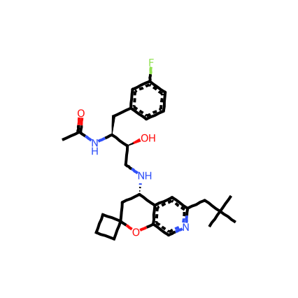 CC(=O)N[C@@H](Cc1cccc(F)c1)[C@@H](O)CN[C@H]1CC2(CCC2)Oc2cnc(CC(C)(C)C)cc21